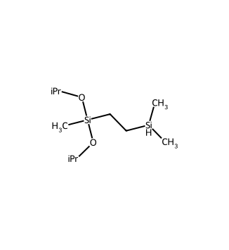 CC(C)O[Si](C)(CC[SiH](C)C)OC(C)C